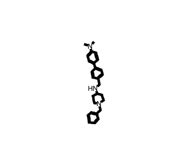 CN(C)c1ccc(-c2ccc(CNC3CCN(Cc4ccccc4)CC3)cc2)cc1